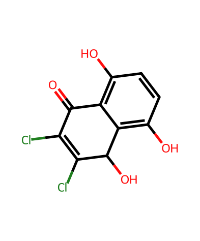 O=C1C(Cl)=C(Cl)C(O)c2c(O)ccc(O)c21